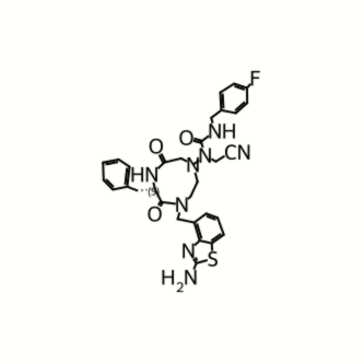 N#CCN(C(=O)NCc1ccc(F)cc1)N1CCN(Cc2cccc3sc(N)nc23)C(=O)[C@H](Cc2ccccc2)NC(=O)C1